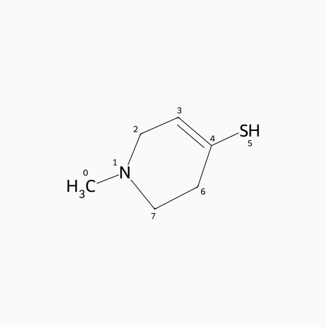 CN1CC=C(S)CC1